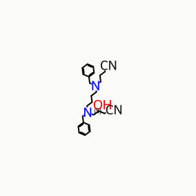 N#CCCCN(CCCCN(Cc1ccccc1)C[C@@H](O)CC#N)Cc1ccccc1